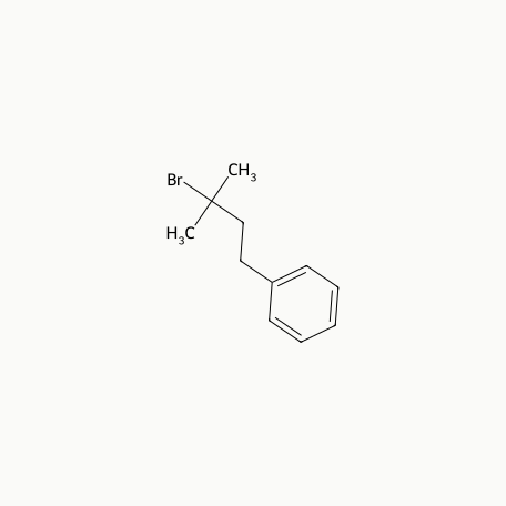 CC(C)(Br)CCc1ccccc1